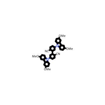 COc1ccc2c(c1)c1cc(OC)ccc1n2-c1ccc(C#N)c(-c2cc(-n3c4ccc(OC)cc4c4cc(OC)ccc43)ccc2C#N)c1